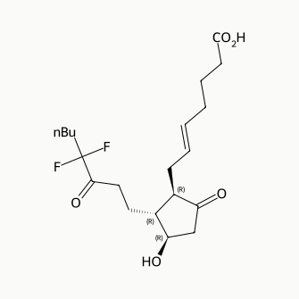 CCCCC(F)(F)C(=O)CC[C@H]1[C@H](O)CC(=O)[C@@H]1CC=CCCCC(=O)O